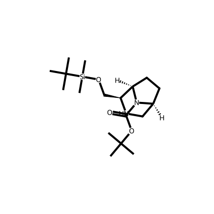 CC(C)(C)OC(=O)N1[C@H]2CC[C@@H]1[C@H](CO[Si](C)(C)C(C)(C)C)NC2